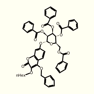 CCCCCCOc1c(OCc2ccccc2)c2ccc(O[C@H]3O[C@H](COC(=O)c4ccccc4)[C@@H](OC(=O)c4ccccc4)[C@H](OC(=O)c4ccccc4)[C@@H]3OC(=O)c3ccccc3)cc2oc1=O